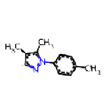 Cc1ccc(-n2n[c]c(C)c2C)cc1